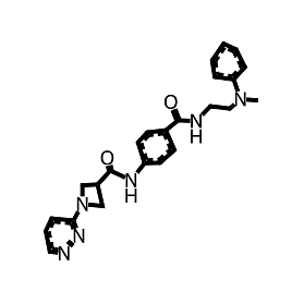 CN(CCNC(=O)c1ccc(NC(=O)C2CN(c3cccnn3)C2)cc1)c1ccccc1